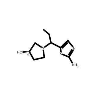 CCC(c1cnc(N)s1)N1CC[C@@H](O)C1